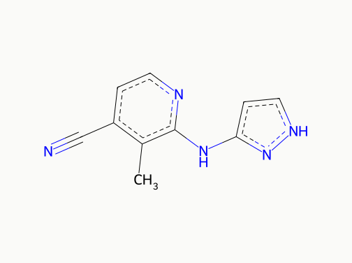 Cc1c(C#N)ccnc1Nc1cc[nH]n1